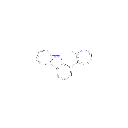 Brc1ncccc1-c1cccc2c1[nH]c1ccccc12